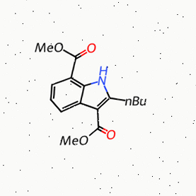 CCCCc1[nH]c2c(C(=O)OC)cccc2c1C(=O)OC